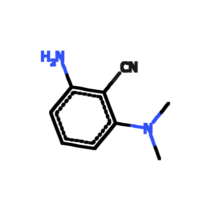 CN(C)c1cccc(N)c1C#N